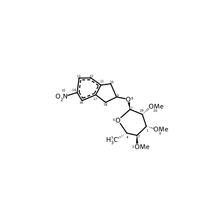 CO[C@@H]1[C@@H](OC)[C@H](C)O[C@@H](OC2Cc3ccc([N+](=O)[O-])cc3C2)[C@@H]1OC